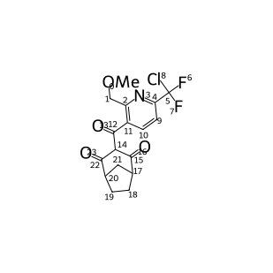 COCc1nc(C(F)(F)Cl)ccc1C(=O)C1C(=O)C2CCC(C2)C1=O